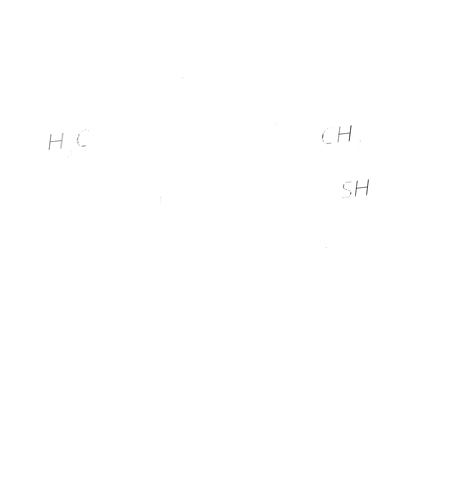 Cc1ccc(C)c(C2C=CC=CC2S)c1